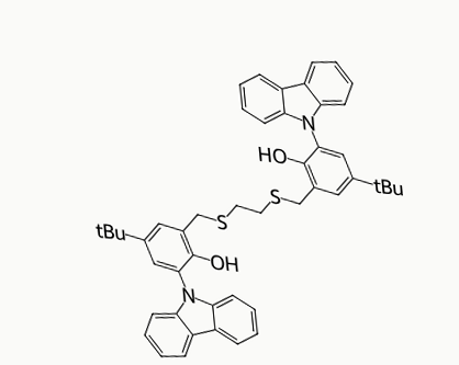 CC(C)(C)c1cc(CSCCSCc2cc(C(C)(C)C)cc(-n3c4ccccc4c4ccccc43)c2O)c(O)c(-n2c3ccccc3c3ccccc32)c1